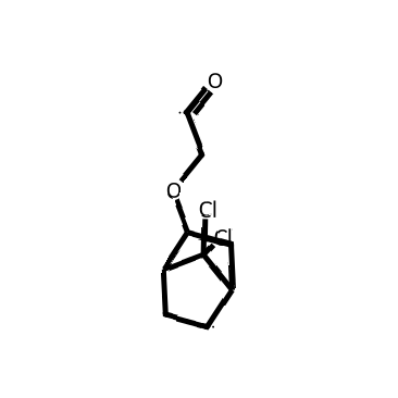 O=[C]COC1CC2[CH]CC1C2(Cl)Cl